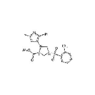 COC(=O)[C@@H]1C[C@@H](S(=O)(=O)c2ccccc2C(F)(F)F)CN1c1cc(C)nn1C(C)C